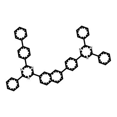 c1ccc(-c2ccc(-c3nc(-c4ccccc4)nc(-c4ccc5ccc(-c6ccc(-c7nc(-c8ccccc8)nc(-c8ccccc8)n7)cc6)cc5c4)n3)cc2)cc1